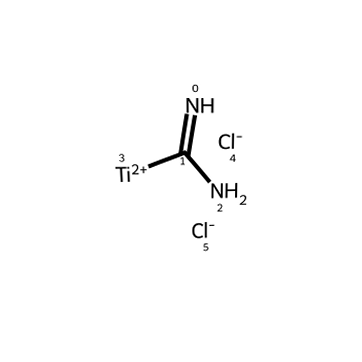 N=[C](N)[Ti+2].[Cl-].[Cl-]